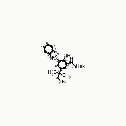 CCCCCCNc1cc(C(C)(C)CC(C)(C)C)cc(-n2nc3ccccc3n2)c1O